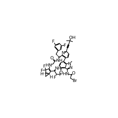 Cn1nc(NC(=O)CBr)c2c(Cl)ccc(-c3ccc(C#CC(C)(C)O)nc3[C@H](Cc3cc(F)cc(F)c3)NC(=O)CNC3=C(C(=N)C(F)F)[C@H]4C[C@H]4C3(F)F)c21